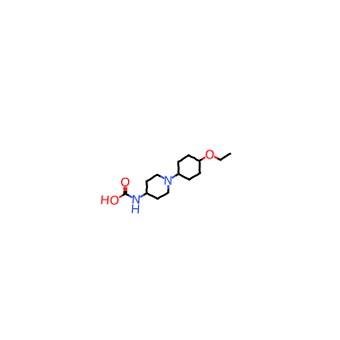 CCOC1CCC(N2CCC(NC(=O)O)CC2)CC1